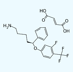 NCCCC[C@H](Oc1ccc(C(F)(F)F)c(F)c1)c1ccccc1.O=C(O)/C=C/C(=O)O